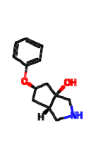 O[C@@]12CNC[C@@H]1C[C@@H](Oc1ccccc1)C2